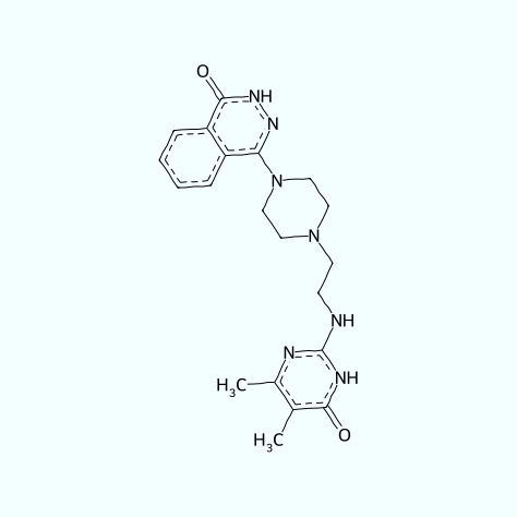 Cc1nc(NCCN2CCN(c3n[nH]c(=O)c4ccccc34)CC2)[nH]c(=O)c1C